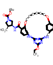 CC(C)(C)OC(=O)N1C[C@H](C(=O)O)[C@H](NC(=O)c2ccc3cc2OCCCCCCOc2ccc(cc2)CNc2nc(nc(OCC(F)(F)F)n2)N3)C1